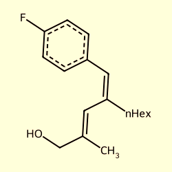 CCCCCCC(=Cc1ccc(F)cc1)/C=C(\C)CO